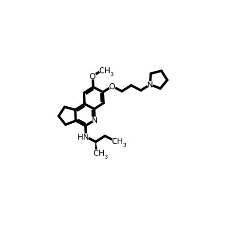 CC[C@@H](C)Nc1nc2cc(OCCCN3CCCC3)c(OC)cc2c2c1CCC2